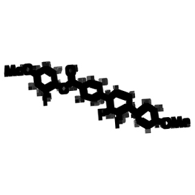 COc1ccc(-c2ccc(-c3ccc(C(=O)Oc4ccc(OC)cc4F)cc3)c(F)c2F)cc1